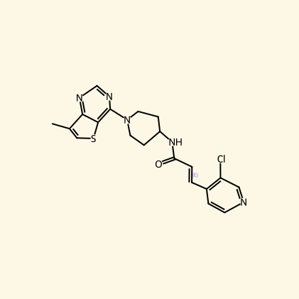 Cc1csc2c(N3CCC(NC(=O)/C=C/c4ccncc4Cl)CC3)ncnc12